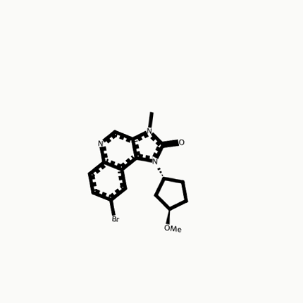 CO[C@@H]1CC[C@@H](n2c(=O)n(C)c3cnc4ccc(Br)cc4c32)C1